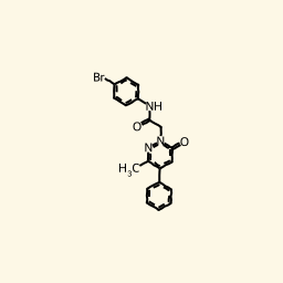 Cc1nn(CC(=O)Nc2ccc(Br)cc2)c(=O)cc1-c1ccccc1